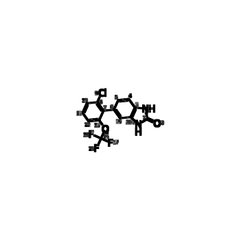 O=c1[nH]c2ccc(-c3c(Cl)cccc3OC(F)(F)F)cc2[nH]1